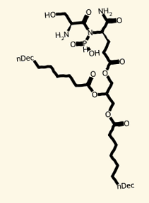 CCCCCCCCCCCCCCCC(=O)OCC(COC(=O)CC[C@H](C(N)=O)N(C(=O)[C@@H](N)CO)[PH](=O)O)OC(=O)CCCCCCCCCCCCCCC